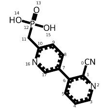 N#Cc1ncccc1-c1ccc(CP(=O)(O)O)nc1